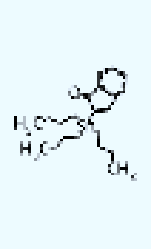 CCC[CH2][Sn]([CH2]CCC)([CH2]CCC)[C]1=Cc2ccccc2C1=O